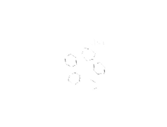 CC(C)(C)c1ccc2c(c1)-c1ccccc1C2C(C1=CC=CC1)(c1ccccc1)c1ccccc1